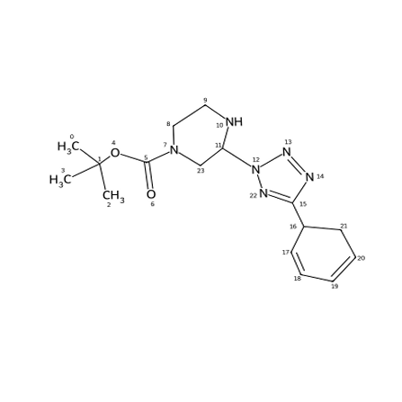 CC(C)(C)OC(=O)N1CCNC(n2nnc(C3C=CC=CC3)n2)C1